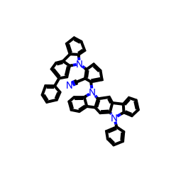 N#Cc1c(-n2c3ccccc3c3ccc(-c4ccccc4)cc32)cccc1-n1c2ccccc2c2cc3c(cc21)c1ccccc1n3-c1ccccc1